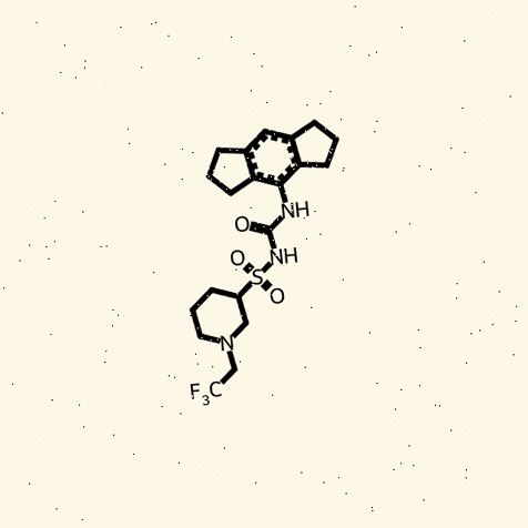 O=C(Nc1c2c(cc3c1CCC3)CCC2)NS(=O)(=O)C1CCCN(CC(F)(F)F)C1